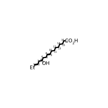 CC/C=C/CC(O)CC/C=C/CCCCCCCC(=O)O